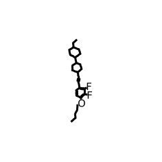 CCCCCOc1ccc(C#CC2CCC(C3CCC(CC)CC3)CC2)c(F)c1F